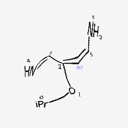 CC(C)O/C(C=N)=C/N